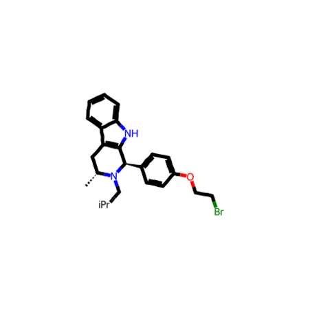 CC(C)CN1[C@H](c2ccc(OCCBr)cc2)c2[nH]c3ccccc3c2C[C@H]1C